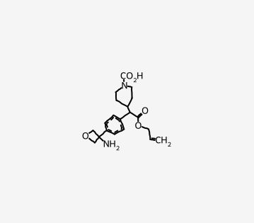 C=CCOC(=O)C(c1ccc(C2(N)COC2)cc1)C1CCN(C(=O)O)CC1